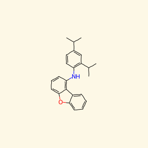 CC(C)c1ccc(Nc2cccc3oc4ccccc4c23)c(C(C)C)c1